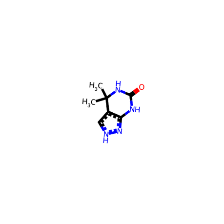 CC1(C)NC(=O)Nc2n[nH]cc21